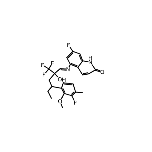 CCC(CC(O)(C=Nc1cc(F)cc2[nH]c(=O)ccc12)C(F)(F)F)c1ccc(C)c(F)c1OC